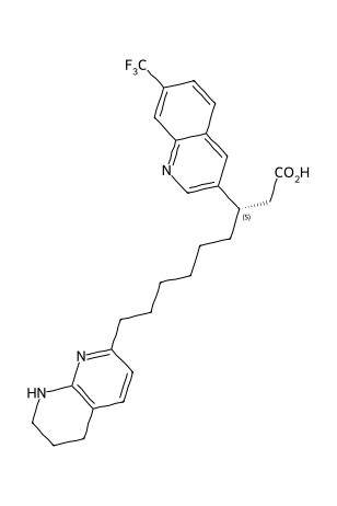 O=C(O)C[C@H](CCCCCCc1ccc2c(n1)NCCC2)c1cnc2cc(C(F)(F)F)ccc2c1